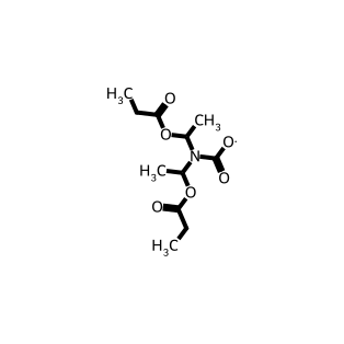 CCC(=O)OC(C)N(C([O])=O)C(C)OC(=O)CC